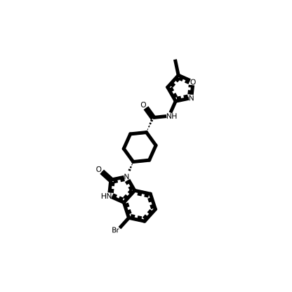 Cc1cc(NC(=O)[C@H]2CC[C@@H](n3c(=O)[nH]c4c(Br)cccc43)CC2)no1